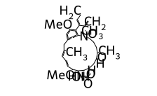 C=C/C=C(\C=C)c1c(OC)cc2cc1N(C)C(=O)CC[C@]1(C)O[C@H]1C[C@@H]1C[C@@](O)(NC(=O)O1)[C@H](OC)/C=C/C=C(\C)C2